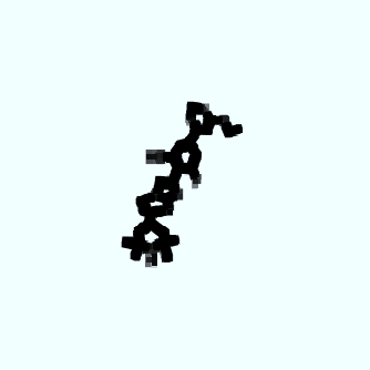 CCOc1cc(-c2cc(O)c(-c3cn4ccc(C5=CC(C)(C)NC(C)(C)C5)nc4n3)c(F)c2)ncn1